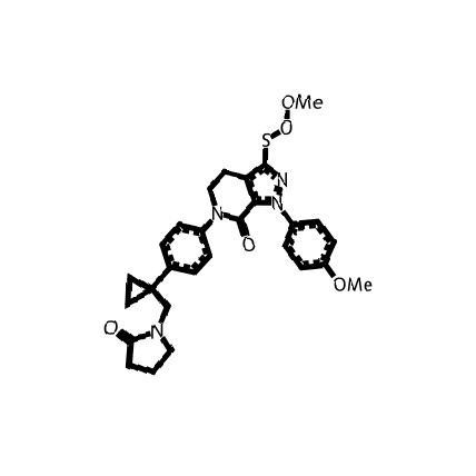 COOSc1nn(-c2ccc(OC)cc2)c2c1CCN(c1ccc(C3(CN4CCCC4=O)CC3)cc1)C2=O